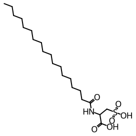 CCCCCCCCCCCCCCCCCC(=O)NC(CS(=O)(=O)O)C(=O)O